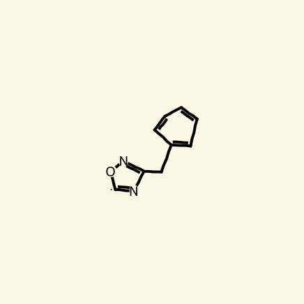 [c]1nc(Cc2ccccc2)no1